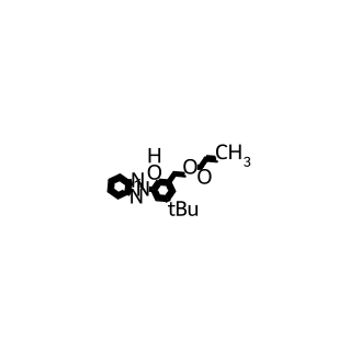 CC=CC(=O)OCCc1cc(C(C)(C)C)cc(-n2nc3ccccc3n2)c1O